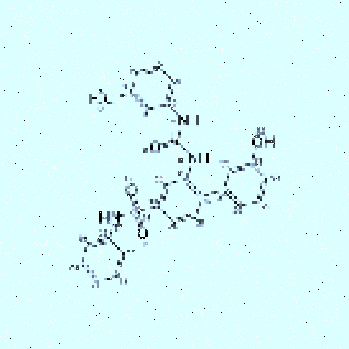 O=C(Nc1cccc(C(F)(F)F)c1)Nc1cc(S(=O)(=O)Nc2ccccc2)ccc1-c1cccc(O)c1